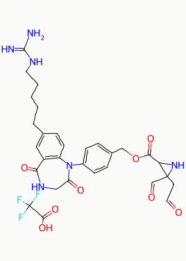 N=C(N)NCCCCCc1ccc2c(c1)C(=O)NCC(=O)N2c1ccc(COC(=O)C2NC2(C=O)CC=O)cc1.O=C(O)C(F)(F)F